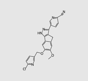 COc1cc2c(cc1OCc1ccc(Cl)nc1)-c1[nH]nc(-c3ccc(C#N)nc3)c1C2